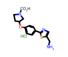 Cl.NCc1cnc(-c2ccc(OC3CCN(C(=O)O)C3)cc2)s1